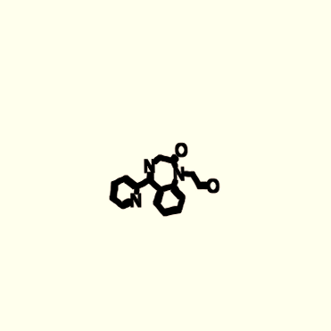 O=CCN1C(=O)CN=C(c2ccccn2)c2ccccc21